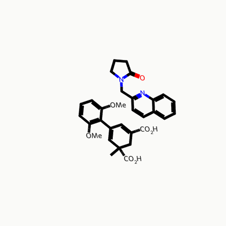 COc1cccc(OC)c1C1=CC(C)(C(=O)O)CC(C(=O)O)=C1.O=C1CCCN1Cc1ccc2ccccc2n1